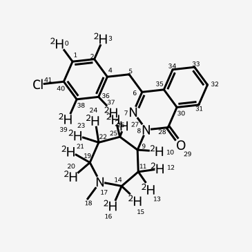 [2H]c1c([2H])c(Cc2nn(C3([2H])C([2H])([2H])C([2H])([2H])N(C)C([2H])([2H])C([2H])([2H])C3([2H])[2H])c(=O)c3ccccc23)c([2H])c([2H])c1Cl